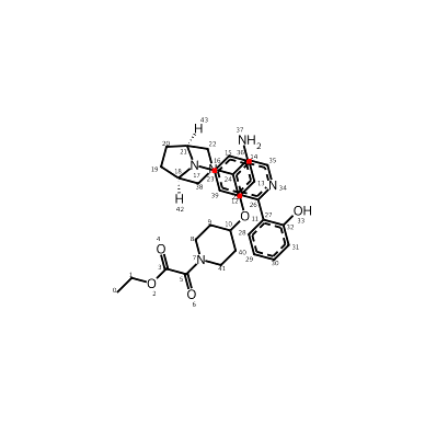 CCOC(=O)C(=O)N1CCC(Oc2cccc(N3[C@@H]4CC[C@H]3CN(c3cc(-c5ccccc5O)ncc3N)C4)c2)CC1